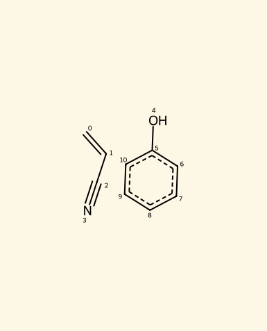 C=CC#N.Oc1ccccc1